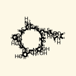 C=C(O)C(=C)NC(=O)C(=C)NC(=O)c1csc(-c2ccc3c(n2)-c2csc(n2)-c2csc(n2)C(C(C)C(O)CO)NC(=O)C(Cc2ccc(O)cc2)CC(=O)c2csc(n2)C(C(O)c2ccccc2)NC(=O)c2nc(sc2C)C(CC(N)=O)NC(=O)c2csc-3n2)n1